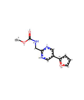 CC(C)(C)OC(=O)NCc1ncc(-c2ccco2)cn1